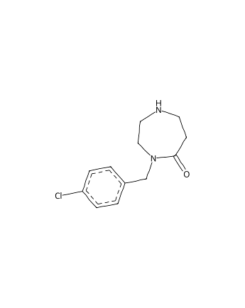 O=C1CCNCCN1Cc1ccc(Cl)cc1